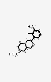 Cc1c(N)cccc1C1CN2CCN(C(=O)O)CC2CO1